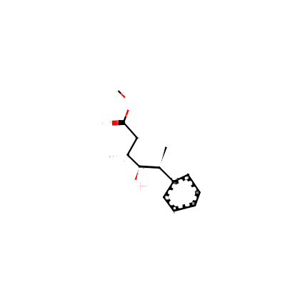 COC(=O)C[C@@H](C)[C@H](O)[C@@H](C)c1ccccc1